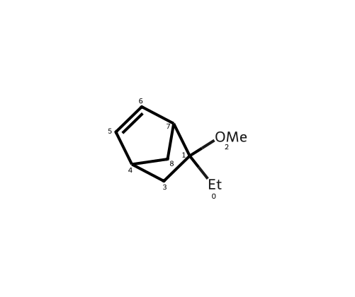 CCC1(OC)CC2C=CC1C2